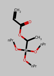 C=CC(=O)OC(C)[Si](OCCC)(OCCC)OCCC